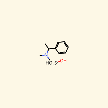 CC(c1ccccc1)N(C)C.O=S(=O)(O)O